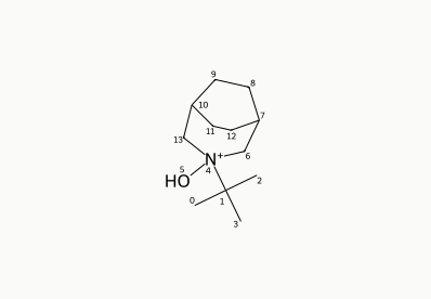 CC(C)(C)[N+]1(O)CC2CCC(CC2)C1